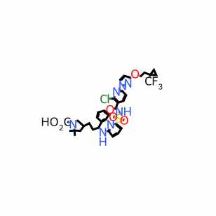 CC1(C)CC(CCC(Nc2cccc(S(=O)(=O)NC(=O)c3ccc(-n4ccc(OCCC5(C(F)(F)F)CC5)n4)nc3Cl)n2)c2ccccc2)CN1C(=O)O